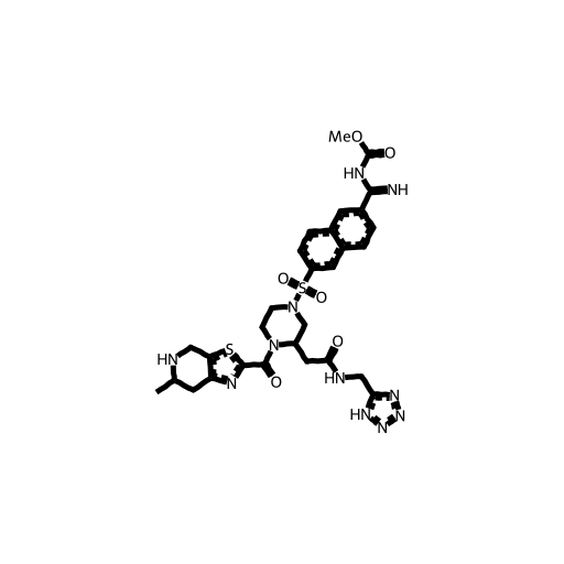 COC(=O)NC(=N)c1ccc2cc(S(=O)(=O)N3CCN(C(=O)c4nc5c(s4)CNC(C)C5)C(CC(=O)NCc4nnn[nH]4)C3)ccc2c1